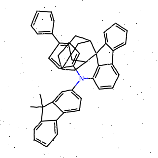 CC1(C)c2ccccc2-c2ccc(N(c3ccc(-c4ccccc4)cc3)c3cccc4c3C3(c5ccccc5-4)C4CC5CC(C4)CC3C5)cc21